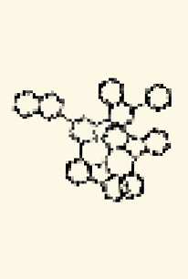 c1ccc(-c2ccc(-c3nc(-c4ccc5ccccc5c4)nc(-c4cccc5c6ccccc6n(-c6cccc7c8ccccc8n(-c8ccccc8)c67)c45)n3)c3ccccc23)cc1